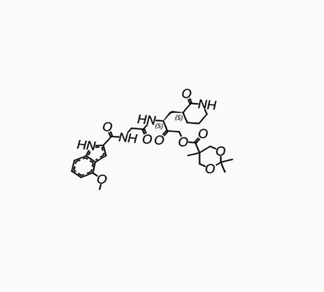 COc1cccc2[nH]c(C(=O)NCC(=O)N[C@@H](C[C@@H]3CCCNC3=O)C(=O)COC(=O)C3(C)COC(C)(C)OC3)cc12